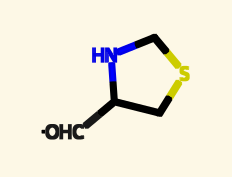 O=[C]C1CSCN1